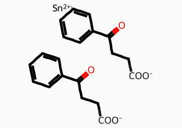 O=C([O-])CCC(=O)c1ccccc1.O=C([O-])CCC(=O)c1ccccc1.[Sn+2]